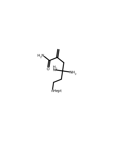 C=C(CC(N)(N)CCCCCCCCC)C(N)=O